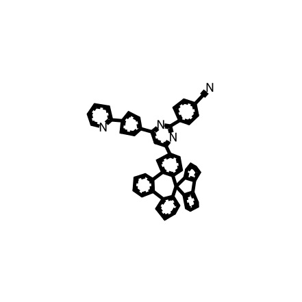 N#Cc1ccc(-c2nc(-c3ccc(-c4ccccn4)cc3)cc(-c3ccc4c(c3)-c3ccccc3-c3ccccc3C43c4ccccc4-c4ccccc43)n2)cc1